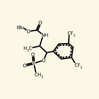 CC(NC(=O)OC(C)(C)C)C(OS(C)(=O)=O)c1cc(C(F)(F)F)cc(C(F)(F)F)c1